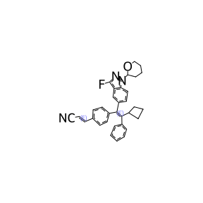 N#C/C=C/c1ccc(/C(=C(\c2ccccc2)C2CCC2)c2ccc3c(c2)c(F)nn3C2CCCCO2)cc1